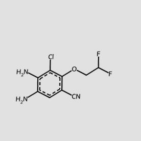 N#Cc1cc(N)c(N)c(Cl)c1OCC(F)F